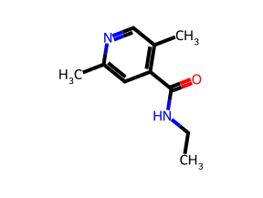 CCNC(=O)c1cc(C)ncc1C